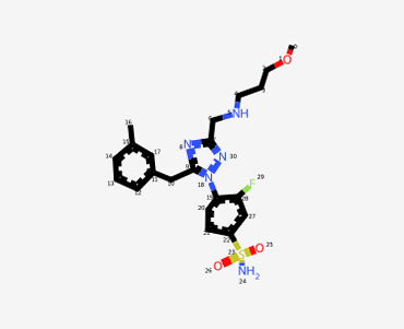 COCCCNCc1nc(Cc2cccc(C)c2)n(-c2ccc(S(N)(=O)=O)cc2F)n1